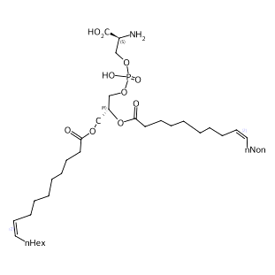 CCCCCC/C=C\CCCCCCCC(=O)OC[C@H](COP(=O)(O)OC[C@H](N)C(=O)O)OC(=O)CCCCCCC/C=C\CCCCCCCCC